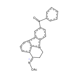 CC(=O)O/N=C1\CCn2c3ccc(C(=O)c4ccccc4)cc3c3cccc1c32